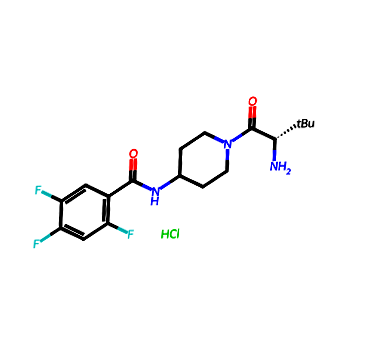 CC(C)(C)[C@H](N)C(=O)N1CCC(NC(=O)c2cc(F)c(F)cc2F)CC1.Cl